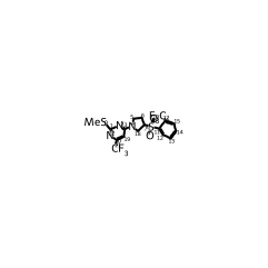 CSc1nc(N2CCC(S(=O)(=O)c3ccccc3C(F)(F)F)C2)cc(C(F)(F)F)n1